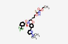 CCOC(=O)NC(=S)OCCC[C@H]1CN(S(=O)(=O)c2cccc(C(F)(F)F)c2)c2cc(-c3cccc(N(C)C)n3)ccc2O1